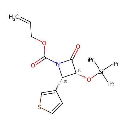 C=CCOC(=O)N1C(=O)[C@H](O[Si](C(C)C)(C(C)C)C(C)C)[C@@H]1c1ccsc1